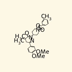 COc1ccc(C2=NN(C3CCN(S(=O)(=O)c4cccc(C)c4)CC3)C(=O)C(C)(C)C2)cc1OC